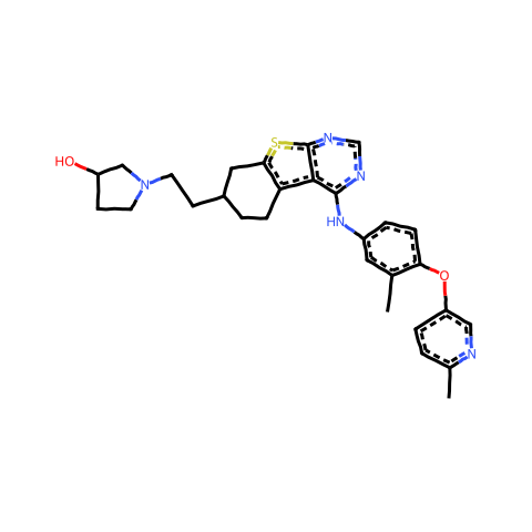 Cc1ccc(Oc2ccc(Nc3ncnc4sc5c(c34)CCC(CCN3CCC(O)C3)C5)cc2C)cn1